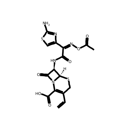 C=CC1=C(C(=O)O)N2C(=O)[C@@H](NC(=O)/C(=N\OC(C)=O)c3csc(N)n3)[C@H]2SC1